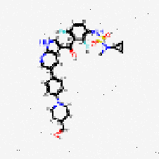 CN(C1CC1)S(=O)(=O)Nc1ccc(F)c(C(=O)c2c[nH]c3ncc(-c4ccc(N5CCC(C=O)CC5)cc4)cc23)c1F